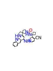 N#Cc1ccncc1C1(NC(=O)N2CCC3(CCN/C3=C\C(=N)c3cnc4ccccc4c3)C2)CCC1